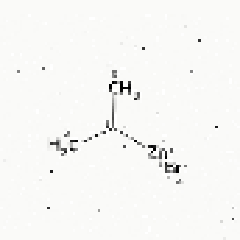 C[CH](C)[Zn+].[Br-]